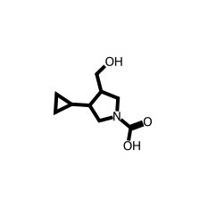 O=C(O)N1CC(CO)C(C2CC2)C1